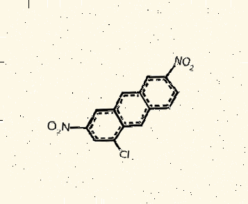 O=[N+]([O-])c1ccc2cc3c(Cl)cc([N+](=O)[O-])cc3cc2c1